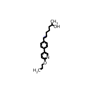 C=CCOc1ccc(-c2ccc(/C=C/CCCC(C)O)cc2)cn1